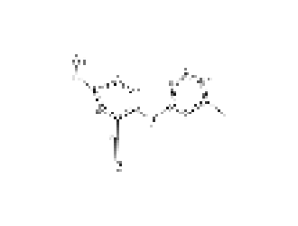 Cc1cc(Oc2ccc(CO)cc2C#N)ccn1